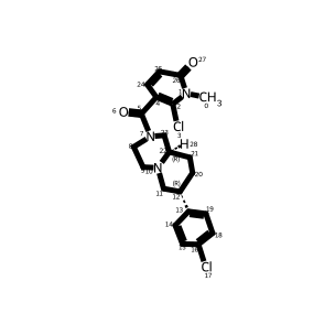 Cn1c(Cl)c(C(=O)N2CCN3C[C@@H](c4ccc(Cl)cc4)CC[C@@H]3C2)ccc1=O